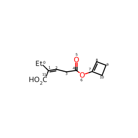 CCC(=CCC(=O)OC1=CCC1)C(=O)O